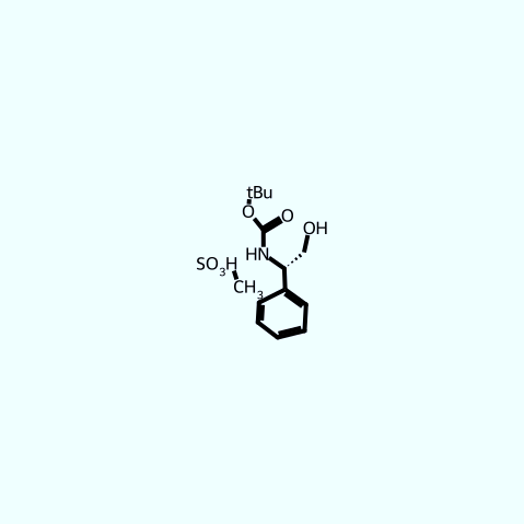 CC(C)(C)OC(=O)N[C@H](CO)c1ccccc1.CS(=O)(=O)O